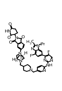 Cc1nc2c(F)cc(-c3nc(Nc4ccc(CN5CCC(CN6C[C@H]7C[C@@H]6CN7c6ccc7c(c6)C(=O)N(C6CCC(=O)NC6=O)C7=O)CC5)cn4)ncc3F)cc2n1C(C)C